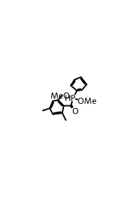 CO[PH](OC)(C(=O)c1c(C)cc(C)cc1C)c1ccccc1